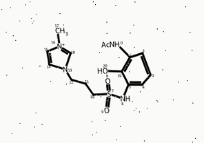 CC(=O)Nc1cccc(NS(=O)(=O)CCCn2cc[n+](C)c2)c1O